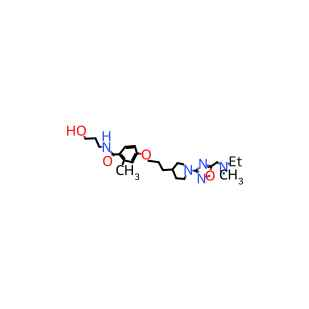 CCN(C)Cc1nc(N2CCC(CCCOc3ccc(C(=O)NCCCO)c(C)c3)CC2)no1